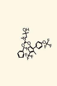 Cc1c(-c2ccc(OC(F)(F)F)cc2)c(OC(=O)N(C)CC(C)(C)O)n(Cc2ccccc2)c1C(F)(F)F